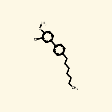 CCCCCCCc1ccc(-c2ccc(OC)c(Cl)c2)cc1